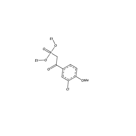 CCOP(=O)(CC(=O)c1ccc(OC)c(Cl)c1)OCC